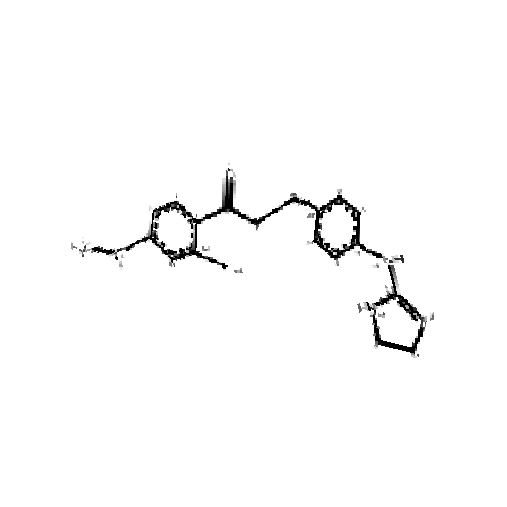 COc1ccc(C(=O)CCc2ccc(NC3=NCCN3)cc2)c(F)c1